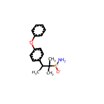 CC(c1ccc(Oc2ccccc2)cc1)C(C)(C)[S+](N)[O-]